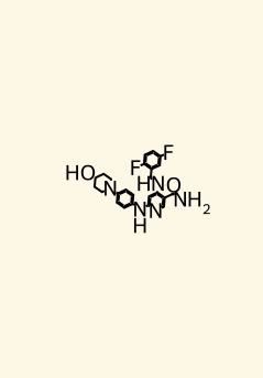 NC(=O)c1cnc(Nc2ccc(N3CCC(O)CC3)cc2)cc1NCc1cc(F)ccc1F